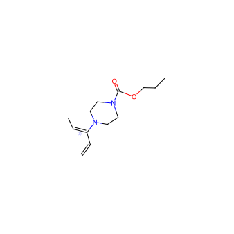 C=C/C(=C/C)N1CCN(C(=O)OCCC)CC1